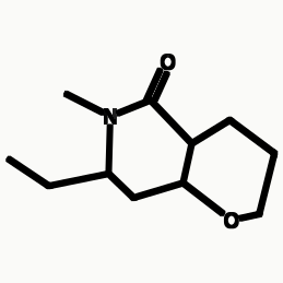 CCC1CC2OCCCC2C(=O)N1C